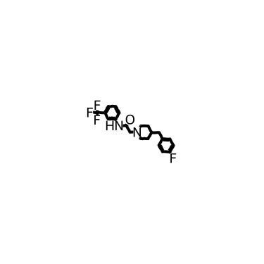 O=C(CN1CCC(Cc2ccc(F)cc2)CC1)Nc1cccc(C(F)(F)F)c1